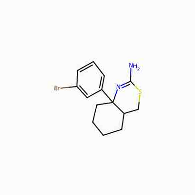 NC1=NC2(c3cccc(Br)c3)CCCCC2CS1